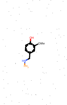 COc1cc(CNP)ccc1O